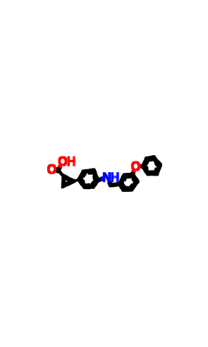 O=C(O)[C@@H]1C[C@H]1c1ccc(NCc2cccc(Oc3ccccc3)c2)cc1